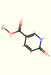 CCOC(=O)C1=C[N]C(=O)C=C1